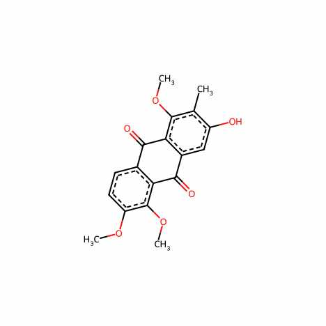 COc1ccc2c(c1OC)C(=O)c1cc(O)c(C)c(OC)c1C2=O